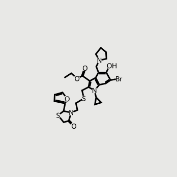 CCOC(=O)c1c(CSCCN2C(=O)CSC2c2ccco2)n(C2CC2)c2cc(Br)c(O)c(CN3CCCC3)c12